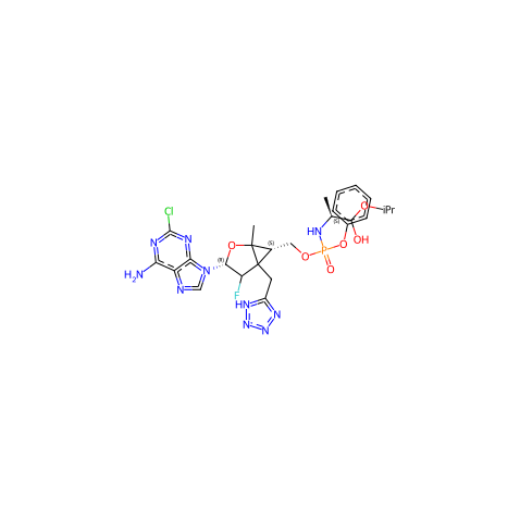 CC(C)OC(O)[C@H](C)NP(=O)(OC[C@H]1C2(C)O[C@@H](n3cnc4c(N)nc(Cl)nc43)C(F)C12Cc1nnn[nH]1)Oc1ccccc1